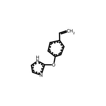 C=Cc1ccc(Oc2ncc[nH]2)cc1